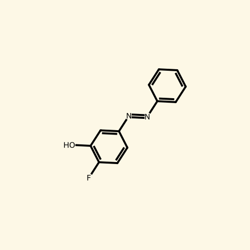 Oc1cc(N=Nc2ccccc2)ccc1F